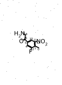 Cc1c(F)cc(C(=O)CN)cc1[N+](=O)[O-]